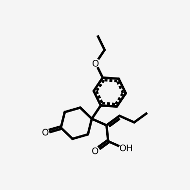 CCC=C(C(=O)O)C1(c2cccc(OCC)c2)CCC(=O)CC1